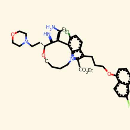 CCOC(=O)c1c(CCCOc2cccc3cc(F)ccc23)c2ccc(Cl)c3c2n1CCCCO[C@H](CCN1CCOCC1)C(=N)/C3=C(\N)CC